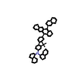 CC1(C)c2cc(-c3c4ccccc4c(-c4ccc5ccccc5c4)c4cc5ccccc5cc34)ccc2-c2ccc(N(c3cccc4ccccc34)c3cccc4ccccc34)cc21